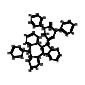 C1=C(n2c3c(c4ccccc42)-c2ccncc2N(c2ccccc2)c2ccccc2-3)NC(c2ccccc2)NC1c1ccccc1